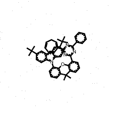 CC(C)(C)c1ccc2c(c1)c1cc(C(C)(C)C)ccc1n2-c1cccc2c1Oc1c(-c3nc(C4=CCC=CC=C4)nc(-c4ccccc4)n3)cccc1C2(C)C